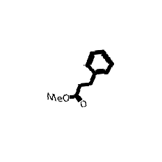 COC(=O)CCc1[c]cccc1